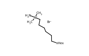 CCCCCCCCCCCC[N+](C)(C)N.[Br-]